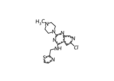 CN1CCN(c2nc(NCc3nccs3)c3cc(Cl)ncc3n2)CC1